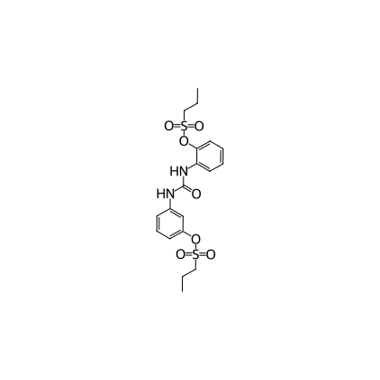 CCCS(=O)(=O)Oc1cccc(NC(=O)Nc2ccccc2OS(=O)(=O)CCC)c1